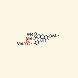 CNC(=O)OCCc1ccc(Nc2c3cc(C)c(OC)cc3nc3cc(OC)c(OC)cc23)cc1